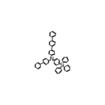 c1ccc(-c2ccc(-c3ccc(N(c4ccc(-c5ccccc5)cc4)c4ccc([Si](c5ccccc5)(c5ccccc5)c5ccccc5)cc4)cc3)cc2)cc1